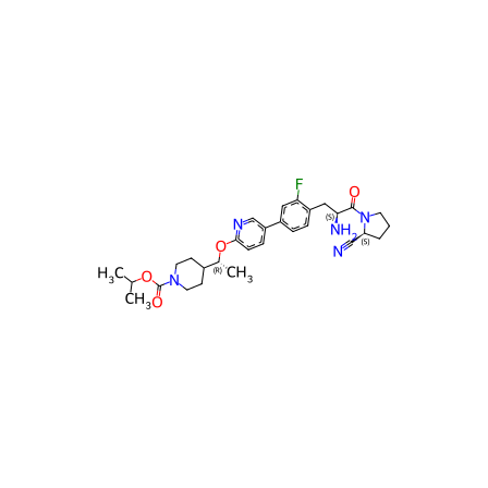 CC(C)OC(=O)N1CCC([C@@H](C)Oc2ccc(-c3ccc(C[C@H](N)C(=O)N4CCC[C@H]4C#N)c(F)c3)cn2)CC1